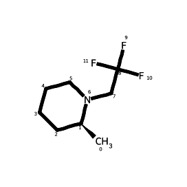 C[C@H]1CCCCN1CC(F)(F)F